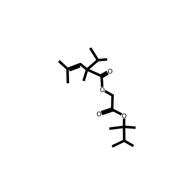 CC(C)=CC(C)(C(=O)OCC(=O)OC(C)(C)C(C)C)C(C)C